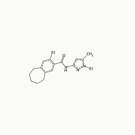 CCc1cc2c(cc1C(=O)Nc1cc(C)n(CC)n1)CCCCC2